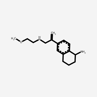 C=C(CNCCOC)c1ccc2c(c1)CCCC2N